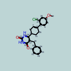 COc1ccc(C2=CCC(c3[nH]c(=O)[nH]c(=O)c3Cc3ccccc3)CC2)c(Cl)c1